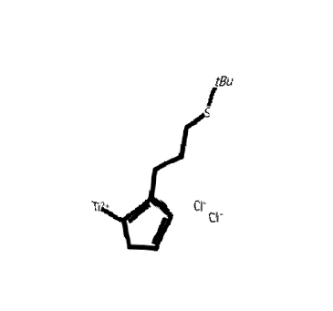 CC(C)(C)SCCCC1=[C]([Ti+2])CC=C1.[Cl-].[Cl-]